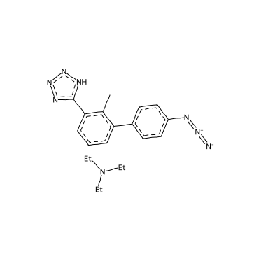 CCN(CC)CC.Cc1c(-c2ccc(N=[N+]=[N-])cc2)cccc1-c1nnn[nH]1